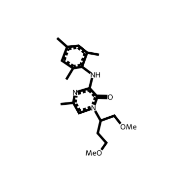 COCCC(COC)n1cc(C)nc(Nc2c(C)cc(C)cc2C)c1=O